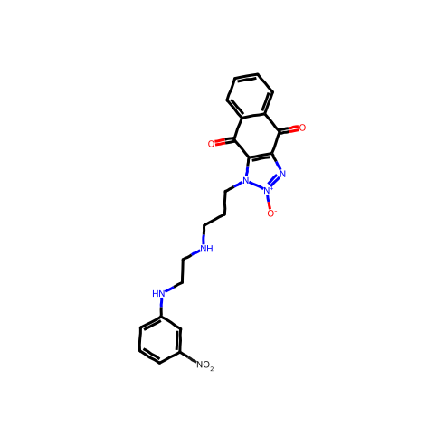 O=C1c2ccccc2C(=O)c2c1n[n+]([O-])n2CCCNCCNc1cccc([N+](=O)[O-])c1